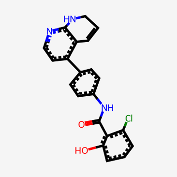 O=C(Nc1ccc(-c2ccnc3c2C=CCN3)cc1)c1c(O)cccc1Cl